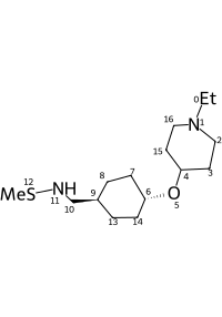 CCN1CCC(O[C@H]2CC[C@H](CNSC)CC2)CC1